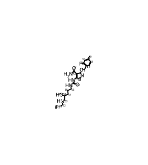 Cc1ccc(COc2nsc(NC(=O)NCCCC(O)CNCC(C)C)c2C(N)=O)c(F)c1